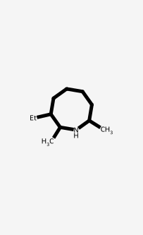 CCC1CCCCC(C)NC1C